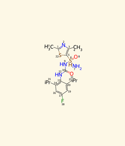 Cc1nc(C)c([SH](N)(=O)NC(=O)Nc2c(C(C)C)cc(F)cc2C(C)C)s1